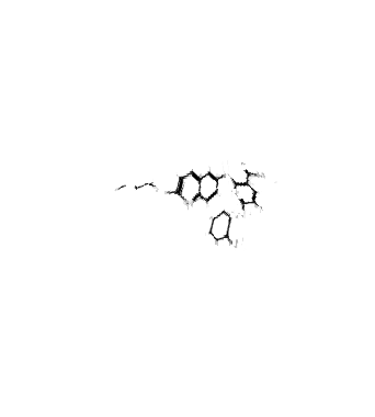 COCCOc1ccc2cc(Nc3nc(N[C@@H]4CCCCC4N)c(F)cc3C(N)=O)ccc2n1